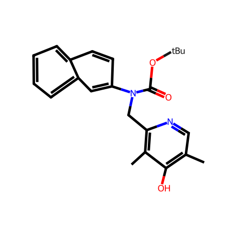 Cc1cnc(CN(C(=O)OC(C)(C)C)c2ccc3ccccc3c2)c(C)c1O